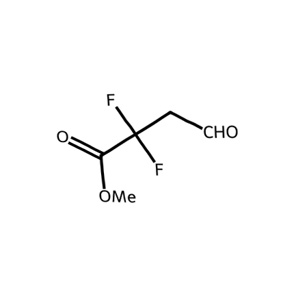 COC(=O)C(F)(F)CC=O